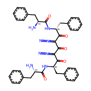 [N-]=[N+]=C(C(=O)C(=[N+]=[N-])C(=O)[C@@H](Cc1ccccc1)NC(=O)[C@@H](N)Cc1ccccc1)C(=O)[C@@H](Cc1ccccc1)NC(=O)[C@@H](N)Cc1ccccc1